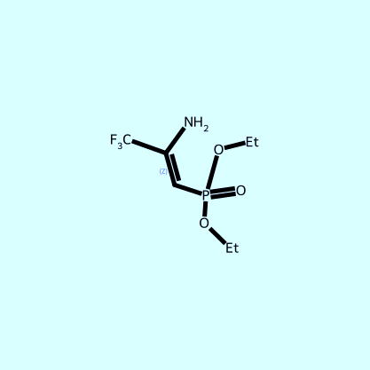 CCOP(=O)(/C=C(\N)C(F)(F)F)OCC